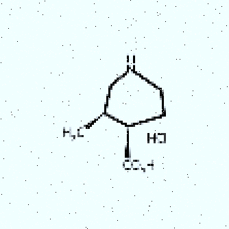 C[C@H]1CNCC[C@H]1C(=O)O.Cl